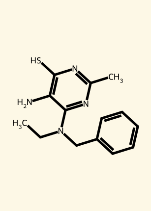 CCN(Cc1ccccc1)c1nc(C)nc(S)c1N